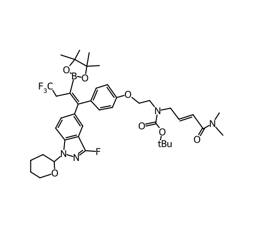 CN(C)C(=O)/C=C/CN(CCOc1ccc(/C(=C(/CC(F)(F)F)B2OC(C)(C)C(C)(C)O2)c2ccc3c(c2)c(F)nn3C2CCCCO2)cc1)C(=O)OC(C)(C)C